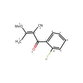 CO/C(C)=C(\C#N)C(=O)c1ccccc1F